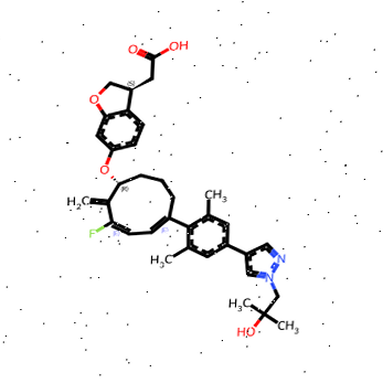 C=C1/C(F)=C\C=C(\c2c(C)cc(-c3cnn(CC(C)(C)O)c3)cc2C)CCC[C@H]1Oc1ccc2c(c1)OC[C@H]2CC(=O)O